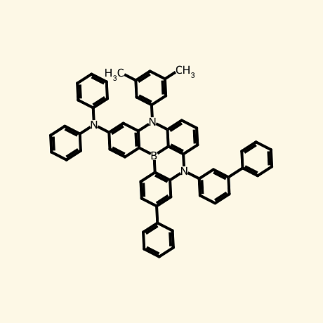 Cc1cc(C)cc(N2c3cc(N(c4ccccc4)c4ccccc4)ccc3B3c4ccc(-c5ccccc5)cc4N(c4cccc(-c5ccccc5)c4)c4cccc2c43)c1